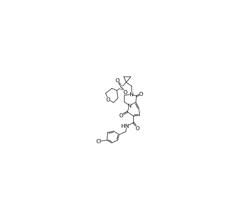 O=C(NCc1ccc(Cl)cc1)c1ccc2n(c1=O)CCN(CC1(S(=O)(=O)C3CCOCC3)CC1)C2=O